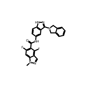 Cn1ncc2c(F)c(C(=O)Nc3ccc4[nH]nc(N5Cc6ccccc6C5)c4c3)c(F)cc21